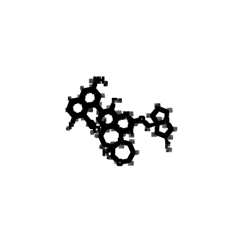 C#Cc1c(F)ccc2cc(N)cc(-c3nc4c5c(nc(OC[C@@]67CCCN6C[C@H](F)C7)nc5c3F)N3CCCOC[C@@H]3CC4)c12